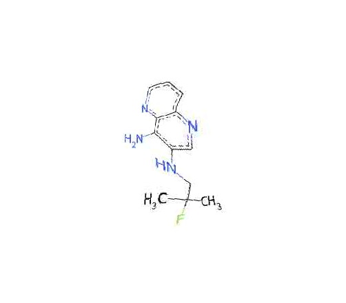 CC(C)(F)CNc1cnc2cccnc2c1N